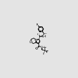 C[C@@H](NC(=O)c1cc(C(=O)NCC(F)(F)F)c2n1CCOC2)c1ccc(F)cc1